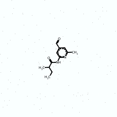 CCC(C)C(=O)Nc1cc(C=O)cc(C)n1